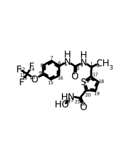 CC(NC(=O)Nc1ccc(OC(F)(F)F)cc1)c1ccc(C(=O)NO)s1